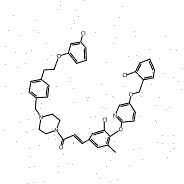 Cc1cc(/C=C/C(=O)N2CCN(Cc3ccc(CCOc4cccc(Cl)c4)cc3)CC2)cc(Cl)c1Oc1ccc(OCc2ccccc2Cl)cn1